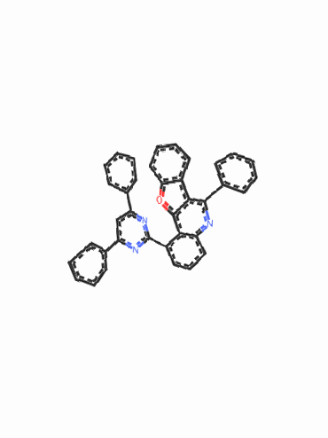 c1ccc(-c2cc(-c3ccccc3)nc(-c3cccc4nc(-c5ccccc5)c5c6ccccc6oc5c34)n2)cc1